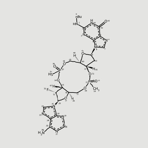 CCCCNc1nc2c(ncn2[C@H]2C[C@@H]3OP(C)(=O)OC[C@H]4O[C@@H](n5cnc6c(N)ncnc65)[C@H](F)[C@@H]4OP(=O)(S)OC[C@H]3O2)c(=O)[nH]1